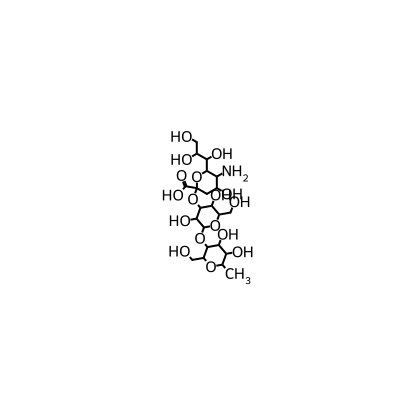 CC1OC(CO)C(OC2OC(CO)C(O)C(OC3(C(=O)O)CC(O)C(N)C(C(O)C(O)CO)O3)C2O)C(O)C1O